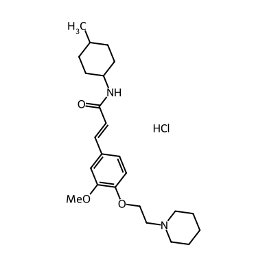 COc1cc(/C=C/C(=O)NC2CCC(C)CC2)ccc1OCCN1CCCCC1.Cl